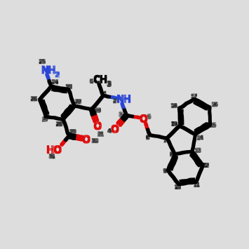 CC(NC(=O)OCC1c2ccccc2-c2ccccc21)C(=O)c1cc(N)ccc1C(=O)O